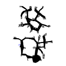 C=C1CC/C=C(\C)CC[C@@H]2[C@@H]1CC2(C)C.Cc1ccc(O)c(C(C)(C)C)c1C(C)(C)C